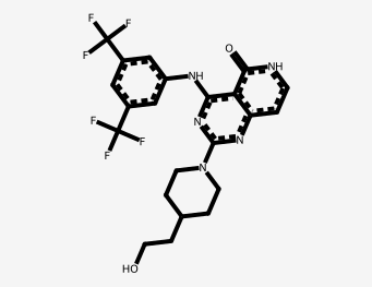 O=c1[nH]ccc2nc(N3CCC(CCO)CC3)nc(Nc3cc(C(F)(F)F)cc(C(F)(F)F)c3)c12